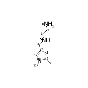 Cc1cc(CNCCN)cn1C